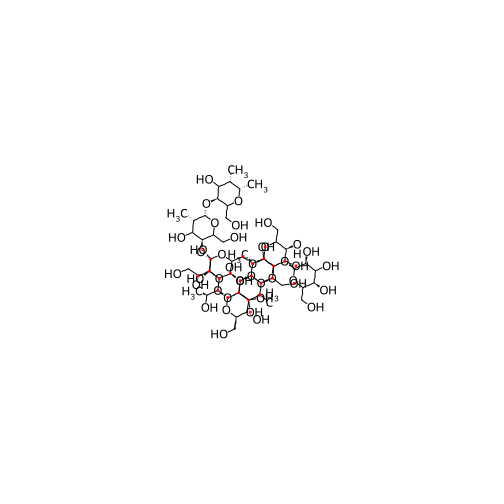 CC1C(O)[C@H](O[C@H](OC(CO)[C@H](O)CO)[C@H](C)O)[C@H](CO)O[C@H]1O[C@@H]1C(O)[C@H](O)C(CO)O[C@@H]1OCC1O[C@@H](O[C@@H]2C(CO)O[C@@H](O[C@@H]3C(CO)O[C@@H](C)[C@@H](C)C3O)[C@@H](C)C2O)[C@H](O)C(O[C@H]2O[C@H](CO)[C@@H](O)C(O)C2O[C@@H]2OC(CO)[C@@H](O[C@@H]3OC(CO)[C@H](O)C(O)[C@@H]3O)C(O)[C@@H]2C)[C@@H]1O